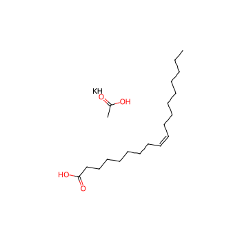 CC(=O)O.CCCCCCCC/C=C\CCCCCCCC(=O)O.[KH]